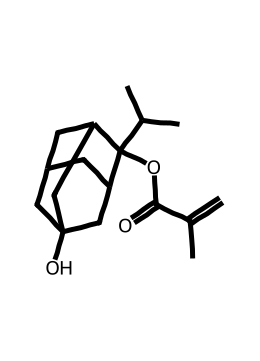 C=C(C)C(=O)OC1(C(C)C)C2CC3CC1CC(O)(C3)C2